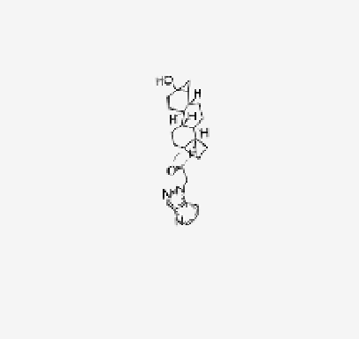 C[C@]12CC[C@@H]3[C@H]4CC[C@]5(O)CC5[C@@H]4CC[C@H]3[C@@H]1CC[C@@H]2C(=O)Cn1ncc2ncccc21